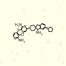 Nc1nc(N2CCC3(CC2)Cc2ccc(N4CCCC4)cc2C3N)cnc1Sc1ccnc(N)c1Cl